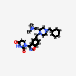 CCN(CC)CC.O=C1CCN(c2noc3ccc(CN4CCN(CC5CCCCC5)CC4)cc23)C(=O)N1